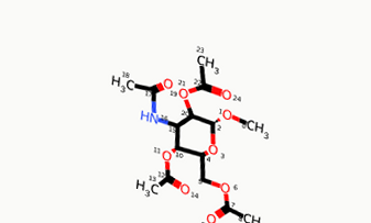 CO[C@@H]1OC(COC(C)=O)[C@@H](OC(C)=O)C(NC(C)=O)C1OC(C)=O